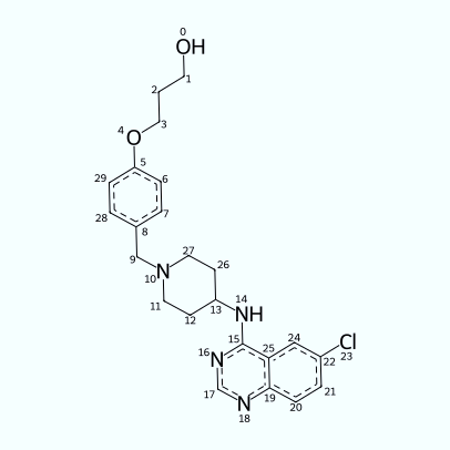 OCCCOc1ccc(CN2CCC(Nc3ncnc4ccc(Cl)cc34)CC2)cc1